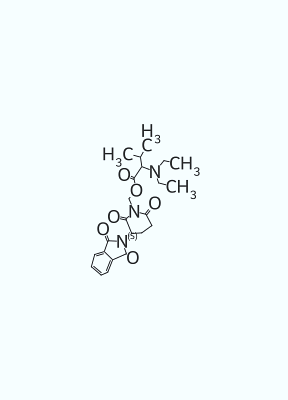 CCN(CC)C(C(=O)OCN1C(=O)CC[C@H](N2C(=O)c3ccccc3C2=O)C1=O)C(C)C